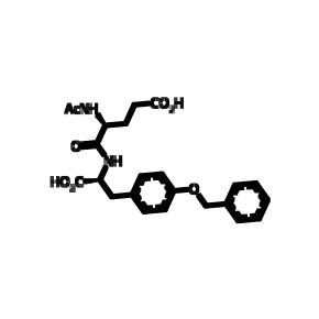 CC(=O)N[C@@H](CCC(=O)O)C(=O)N[C@@H](Cc1ccc(OCc2ccccc2)cc1)C(=O)O